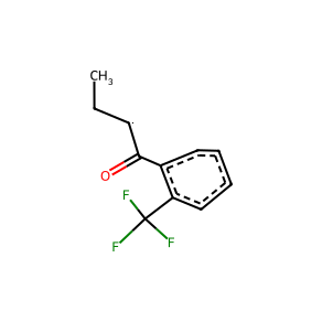 CC[CH]C(=O)c1ccccc1C(F)(F)F